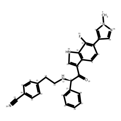 Cn1cc(-c2ccc3c(C(=O)[C@H](NCCc4ccc(C#N)cc4)c4ccccc4)c[nH]c3c2F)cn1